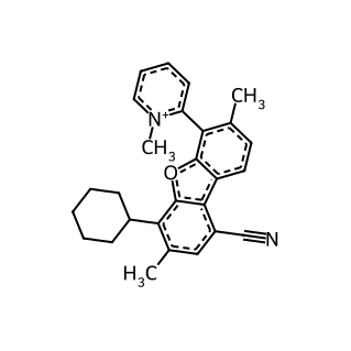 Cc1ccc2c(oc3c(C4CCCCC4)c(C)cc(C#N)c32)c1-c1cccc[n+]1C